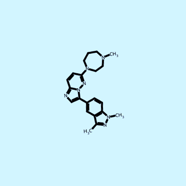 Cc1nn(C)c2ccc(-c3cnc4ccc(N5CCCN(C)CC5)nn34)cc12